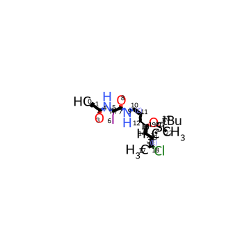 C#CC(=O)N[C@@H](I)C(=O)N/C=C\C[C@H](C/C=C(\C)Cl)O[Si](C)(C)C(C)(C)C